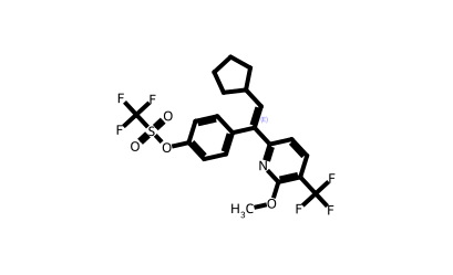 COc1nc(/C(=C/C2CCCC2)c2ccc(OS(=O)(=O)C(F)(F)F)cc2)ccc1C(F)(F)F